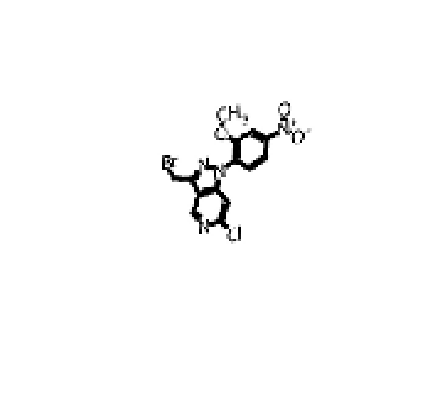 COc1cc([N+](=O)[O-])ccc1-n1nc(CBr)c2cnc(Cl)cc21